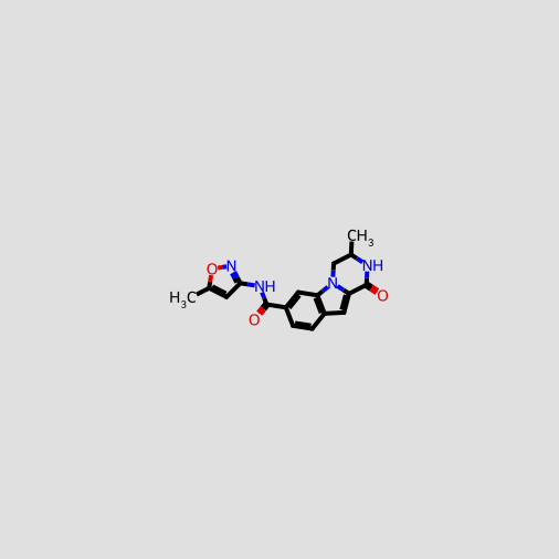 Cc1cc(NC(=O)c2ccc3cc4n(c3c2)CC(C)NC4=O)no1